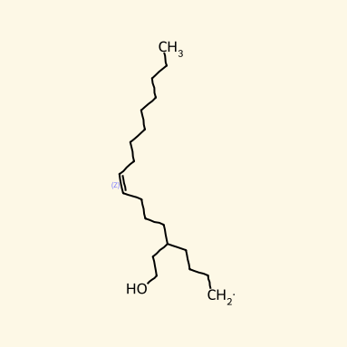 [CH2]CCCC(CCO)CCC/C=C\CCCCCCCC